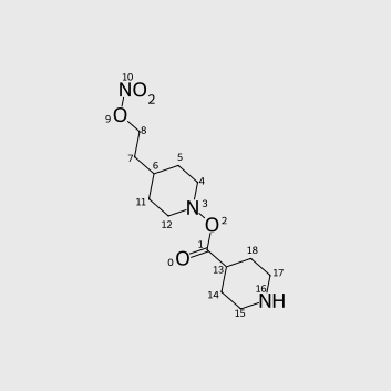 O=C(ON1CCC(CCO[N+](=O)[O-])CC1)C1CCNCC1